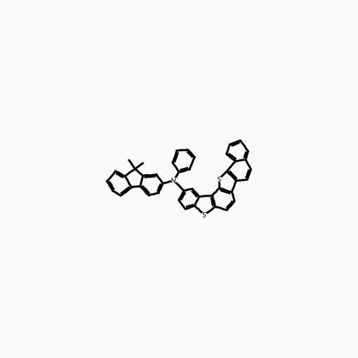 CC1(C)c2ccccc2-c2ccc(N(c3ccccc3)c3ccc4sc5ccc6c7ccc8ccccc8c7sc6c5c4c3)cc21